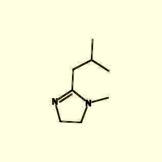 CC(C)CC1=NCCN1C